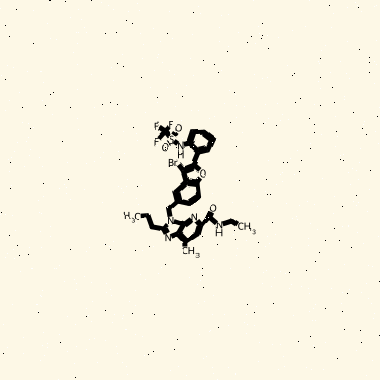 CCCc1nc2c(C)cc(C(=O)NCC)nc2n1Cc1ccc2oc(-c3ccccc3NS(=O)(=O)C(F)(F)F)c(Br)c2c1